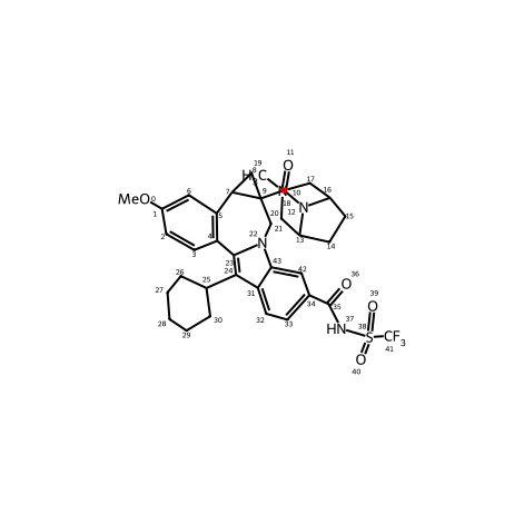 COc1ccc2c(c1)C1CC1(C(=O)N1C3CCC1CN(C)C3)Cn1c-2c(C2CCCCC2)c2ccc(C(=O)NS(=O)(=O)C(F)(F)F)cc21